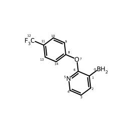 Bc1cccnc1Oc1ccc(C(F)(F)F)cc1